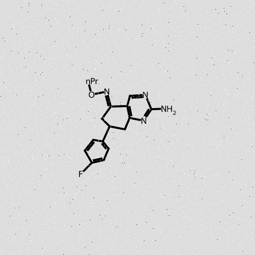 CCCON=C1CC(c2ccc(F)cc2)Cc2nc(N)ncc21